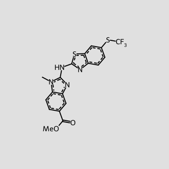 COC(=O)c1ccc2c(c1)nc(Nc1nc3ccc(SC(F)(F)F)cc3s1)n2C